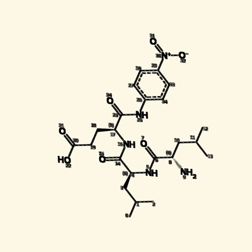 CC(C)C[C@H](NC(=O)[C@@H](N)CC(C)C)C(=O)N[C@@H](CCC(=O)O)C(=O)Nc1ccc([N+](=O)[O-])cc1